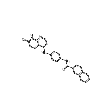 O=C(Nc1ccc(Nc2ccnc3[nH]c(=O)ccc23)cc1)c1ccc2ccccc2c1